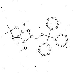 CO[C@@H]1[C@H]2OC(C)(C)O[C@H]2O[C@@H]1COC(c1ccccc1)(c1ccccc1)c1ccccc1